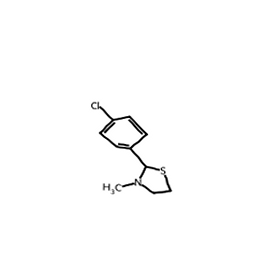 CN1CCSC1c1ccc(Cl)cc1